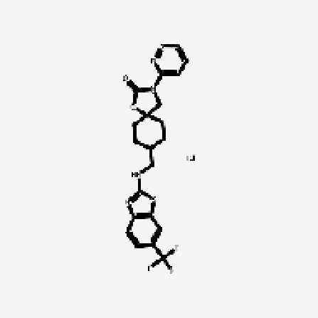 Cl.O=C1OC2(CCC(CNc3nc4ccc(C(F)(F)F)cc4s3)CC2)CN1c1cccnn1